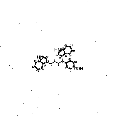 Oc1ccc(C(CCCc2c[nH]c3ccccc23)c2c[nH]c3ccccc23)cc1